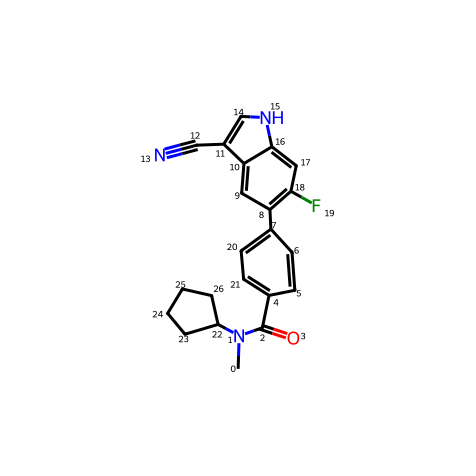 CN(C(=O)c1ccc(-c2cc3c(C#N)c[nH]c3cc2F)cc1)C1CCCC1